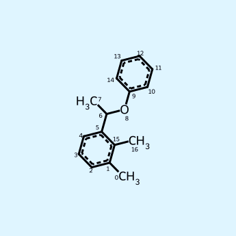 Cc1cccc(C(C)Oc2ccccc2)c1C